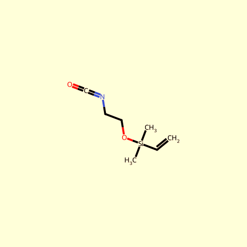 C=C[Si](C)(C)OCCN=C=O